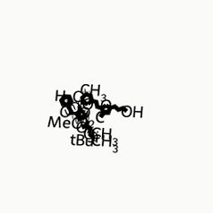 C=C1CC(CCCO)OC1CCC1C[C@@H](C)C(=C)[C@@H](CC2O[C@H](CC(=O)CO[Si](C)(C)C(C)(C)C)[C@H](OC)[C@H]2CS(=O)(=O)c2ccccc2)O1